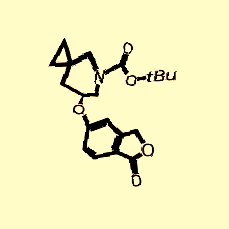 CC(C)(C)OC(=O)N1C[C@@H](Oc2ccc3c(c2)COC3=O)CC2(CC2)C1